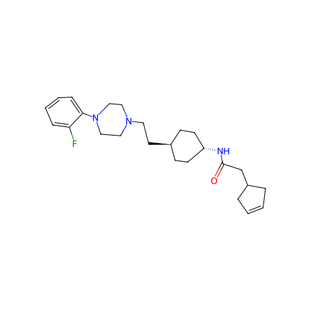 O=C(CC1CC=CC1)N[C@H]1CC[C@H](CCN2CCN(c3ccccc3F)CC2)CC1